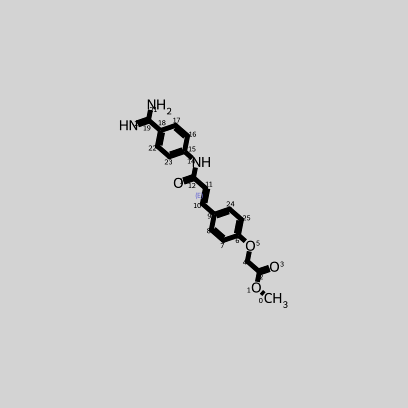 COC(=O)COc1ccc(/C=C/C(=O)Nc2ccc(C(=N)N)cc2)cc1